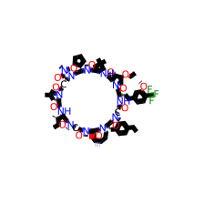 CCO[C@@H]1C[C@H]2C(=O)NC3(CC(C)(C)C3)C(=O)N(C)[C@@H](C3CCCC3)C(=O)N(C)[C@H](C(=O)N(C)C)CC(=O)N(C)[C@@H](CC(C)C)C(=O)N[C@@H]([C@@H](C)CC)C(=O)N(C)CC(=O)N(C)[C@H]3C/C=C\CCN(C3=O)[C@@H](Cc3ccc(CC)cc3)C(=O)N(C)CC(=O)N[C@@H](CCc3ccc(C(F)(F)F)c(OC)c3)C(=O)N2C1